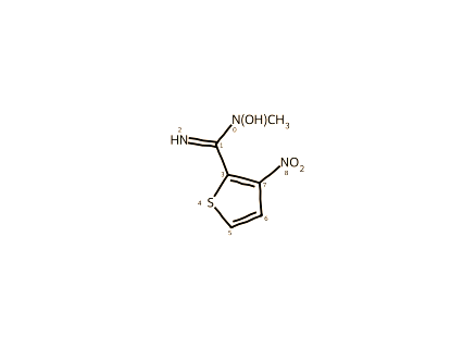 CN(O)C(=N)c1sccc1[N+](=O)[O-]